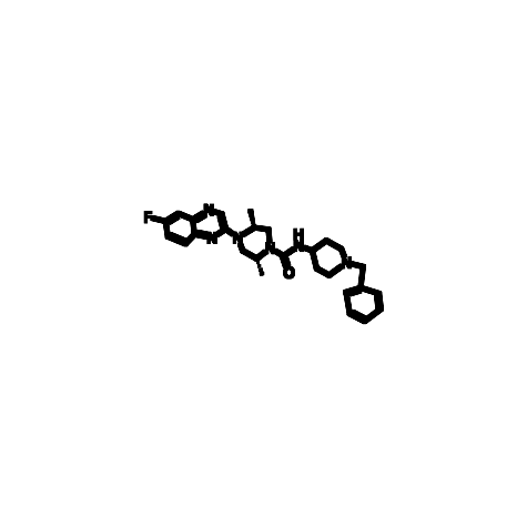 C[C@@H]1CN(c2cnc3cc(F)ccc3n2)[C@@H](C)CN1C(=O)NC1CCN(Cc2ccccc2)CC1